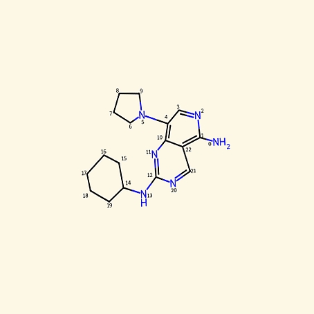 Nc1ncc(N2CCCC2)c2nc(NC3CCCCC3)ncc12